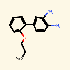 COCCOc1ccccc1-c1ccc(N)c(N)c1